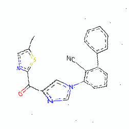 Cc1cnc(C(=O)c2cn(-c3cccc(-c4ccccc4)c3C#N)cn2)s1